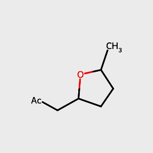 CC(=O)CC1CCC(C)O1